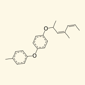 C/C=C\C(C)=C/C(C)Oc1ccc(Oc2ccc(C)cc2)cc1